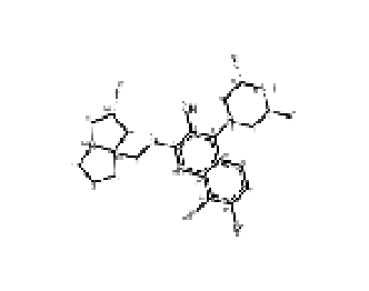 C[C@H]1CN(c2c(C#N)c(OC[C@@]34CCCN3C[C@H](F)C4)nc3c(F)c(Br)ccc23)C[C@H](C)N1